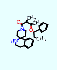 C=C(OC(CC)c1ccccc1)C(=C)C(=O)N1CCC2(CC1)NCCc1ccccc12